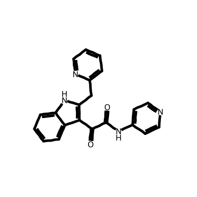 O=C(Nc1ccncc1)C(=O)c1c(Cc2ccccn2)[nH]c2ccccc12